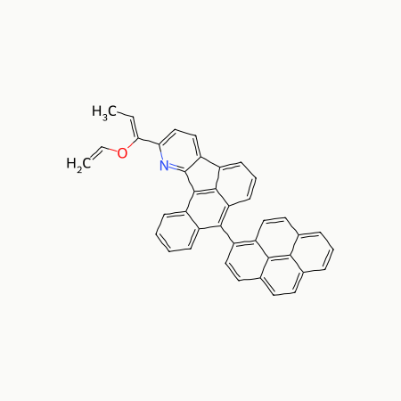 C=CO/C(=C\C)c1ccc2c(n1)-c1c3ccccc3c(-c3ccc4ccc5cccc6ccc3c4c56)c3cccc-2c13